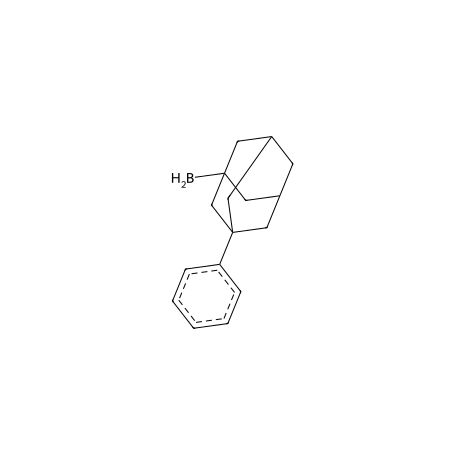 BC12CC3CC(C1)CC(c1ccccc1)(C3)C2